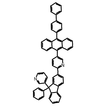 c1ccc(-c2ccc(-c3c4ccccc4c(-c4ccc(-c5ccc6c(c5)C(c5ccccc5)(c5cccnc5)c5ccccc5-6)nc4)c4ccccc34)cc2)cc1